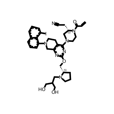 C=CC(=O)N1CCN(c2nc(OC[C@@H]3CCCN3CC(CO)CO)nc3c2CCN(c2cccc4cccc(I)c24)C3)C[C@@H]1CC#N